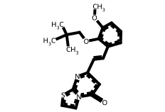 COc1cccc(/C=C/c2cc(=O)n3ccsc3n2)c1OCC(C)(C)C